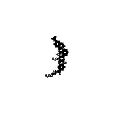 COCCNC(=O)c1ccc(Nc2nc(-c3cccc(N4CCc5cc(C6CC6)ccc5C4=O)c3CO)cn(C)c2=O)cc1